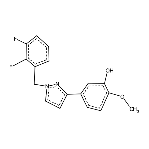 COc1ccc(-c2ccn(Cc3cccc(F)c3F)n2)cc1O